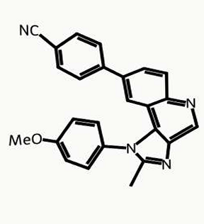 COc1ccc(-n2c(C)nc3cnc4ccc(-c5ccc(C#N)cc5)cc4c32)cc1